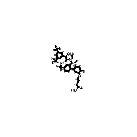 CCN(Cc1cc(C(F)(F)F)ccc1-c1cc(OCCCC(=O)O)c(C)cc1OC)C(C)C(O)c1cc(C(F)(F)F)cc(C(F)(F)F)c1